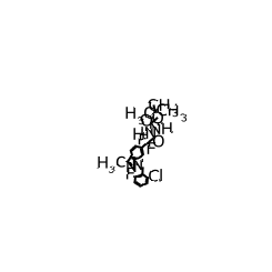 Cc1nn(Cc2c(F)cccc2Cl)c2cc(C(F)(F)C(=O)NNC(=O)OC(C)(C)C)ccc12